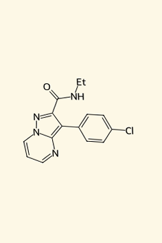 CCNC(=O)c1nn2cccnc2c1-c1ccc(Cl)cc1